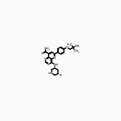 CC(C)(O)COc1ccc(-c2cc(C(N)=O)c3ncnc(N[C@@H]4CNC[C@@H](F)C4)c3n2)cc1